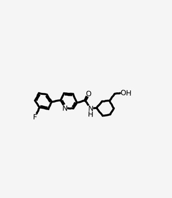 O=C(NC1CCCC(CO)C1)c1ccc(-c2cccc(F)c2)nc1